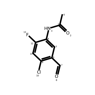 CC(=O)Nc1cc(C=O)c(Cl)cc1F